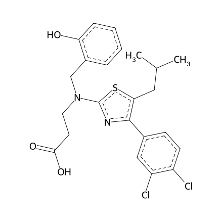 CC(C)Cc1sc(N(CCC(=O)O)Cc2ccccc2O)nc1-c1ccc(Cl)c(Cl)c1